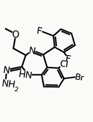 COCC1N=C(c2c(F)cccc2F)c2c(ccc(Br)c2Cl)NC1=NN